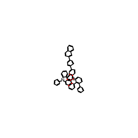 c1ccc(-c2ccccc2-c2c(-c3ccccc3)cccc2N(c2ccc(-c3ccc(-c4ccc5ccccc5c4)cc3)cc2)c2cccc3c2c2ccccc2n3-c2ccccc2)cc1